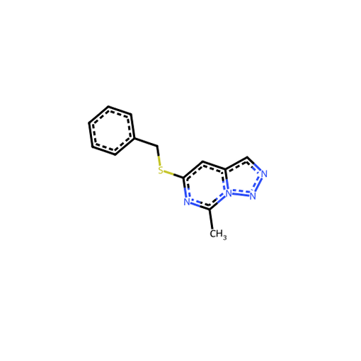 Cc1nc(SCc2ccccc2)cc2cnnn12